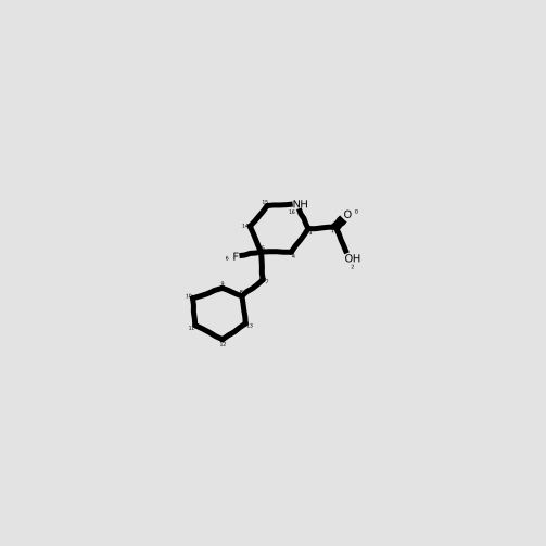 O=C(O)C1CC(F)(CC2CCCCC2)CCN1